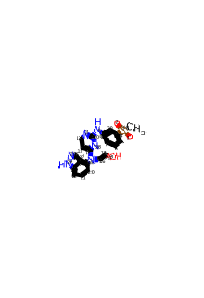 CS(=O)(=O)c1cccc(Nc2nccc(N(CCO)c3cccc4[nH]ncc34)n2)c1